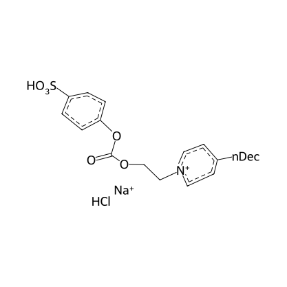 CCCCCCCCCCc1cc[n+](CCOC(=O)Oc2ccc(S(=O)(=O)O)cc2)cc1.Cl.[Na+]